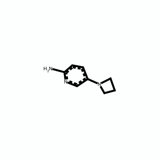 Nc1ccc(N2CCC2)cn1